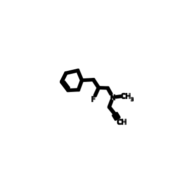 C#CCN(C)CC(F)CC1CC=CCC1